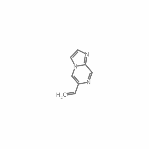 C=Cc1cn2ccnc2cn1